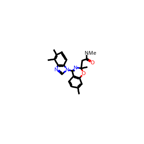 CNC(=O)CC1(C)N=C(n2cnc3c(C)c(C)ccc32)c2ccc(C)cc2O1